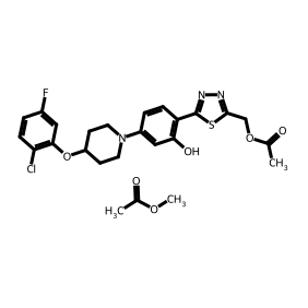 CC(=O)OCc1nnc(-c2ccc(N3CCC(Oc4cc(F)ccc4Cl)CC3)cc2O)s1.COC(C)=O